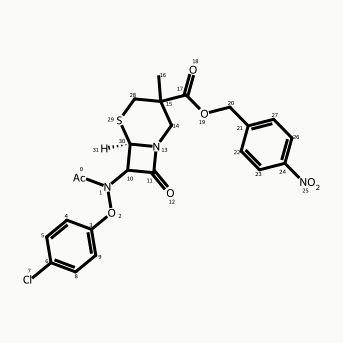 CC(=O)N(Oc1ccc(Cl)cc1)C1C(=O)N2CC(C)(C(=O)OCc3ccc([N+](=O)[O-])cc3)CS[C@H]12